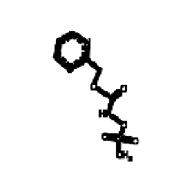 CS(=O)(=O)ONC(=O)OCc1ccccn1